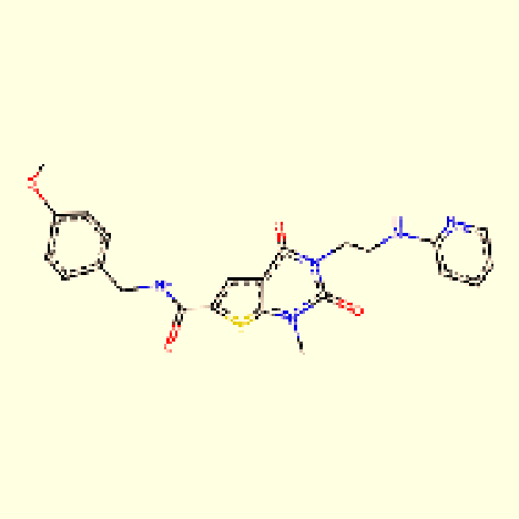 COc1ccc(CNC(=O)c2cc3c(=O)n(CCNc4ccccn4)c(=O)n(C)c3s2)cc1